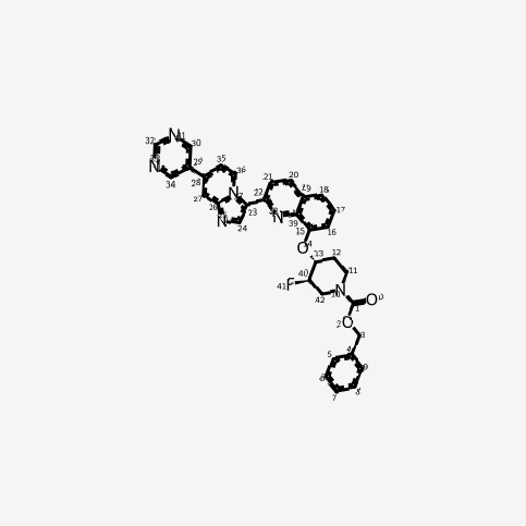 O=C(OCc1ccccc1)N1CC[C@@H](Oc2cccc3ccc(-c4cnc5cc(-c6cncnc6)ccn45)nc23)[C@H](F)C1